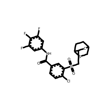 O=C(Nc1cc(F)c(F)c(F)c1)c1ccc(Cl)c(S(=O)(=O)CC2CC3CCC2SC3)c1